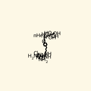 CCCCCCN(CCOc1ccc(CCCCNC(=N)NC(=O)c2nc(Cl)c(N)nc2N)cc1)C[C@@H](O)[C@H](O)[C@@H](O)[C@@H](O)CO